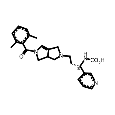 Cc1cccc(C)c1C(=O)N1C=C2CN(CC[C@H](NC(=O)O)c3cccnc3)CC2C1